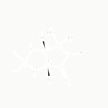 CCC1(O)C(F)C(=O)[C@@H]2OC(C)(C)O[C@@H]21